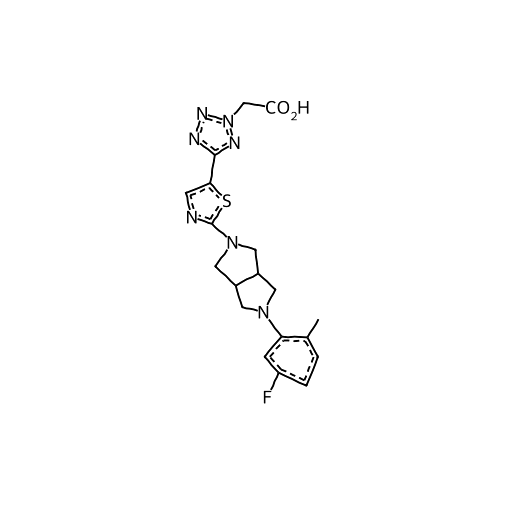 Cc1ccc(F)cc1N1CC2CN(c3ncc(-c4nnn(CC(=O)O)n4)s3)CC2C1